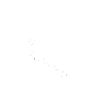 C/C(=N\NC(=O)c1ccc(C(=O)NCc2c(C)nn(C)c2C)s1)c1csc(-c2ccc(C(F)(F)F)cc2)c1O